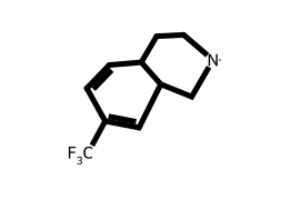 FC(F)(F)C1=CC2C[N]CCC2C=C1